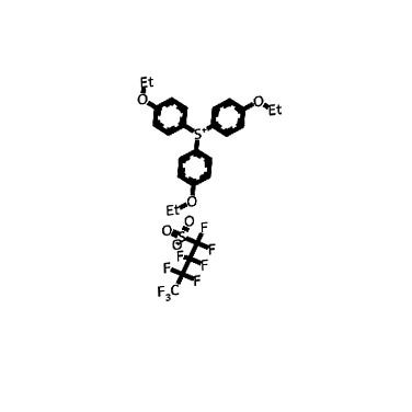 CCOc1ccc([S+](c2ccc(OCC)cc2)c2ccc(OCC)cc2)cc1.O=S(=O)([O-])C(F)(F)C(F)(F)C(F)(F)C(F)(F)F